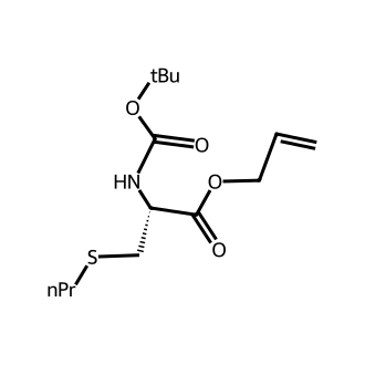 [CH2][CH]CSC[C@H](NC(=O)OC(C)(C)C)C(=O)OCC=C